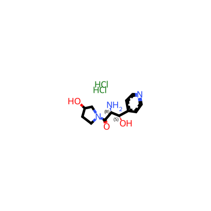 Cl.Cl.N[C@@H](C(=O)N1CCC(O)C1)[C@@H](O)c1ccncc1